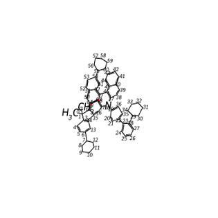 CC1(C)c2ccc(C3CCCCC3)cc2-c2cc(N(c3ccc(-c4ccccc4C4CCCCC4)cc3)c3ccc4ccccc4c3-c3cccc4ccc(C5CCCCC5)cc34)ccc21